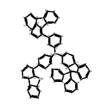 c1ccc(C2(c3ccccc3)c3ccccc3-c3ccc(N(c4ccc(-c5cccc6c5oc5ccccc56)cc4)c4cccc(-c5ccc6cccc7c6c5-c5ccccc5-7)c4)cc32)cc1